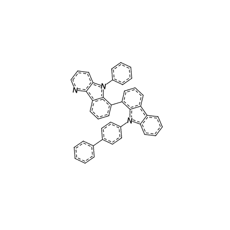 c1ccc(-c2ccc(-n3c4ccccc4c4cccc(-c5cccc6c7ncccc7n(-c7ccccc7)c56)c43)cc2)cc1